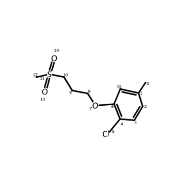 Cc1ccc(Cl)c(OCCCS(C)(=O)=O)c1